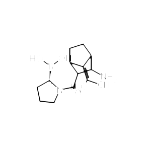 CC(C)=C1C2CCC1C(C(=O)N1CCC[C@H]1B(O)O)C2N